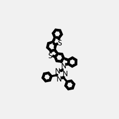 c1ccc(-c2nc(-c3ccccc3)nc(-n3c4ccccc4c4cc5c(cc43)sc3ccc4c6ccccc6sc4c35)n2)cc1